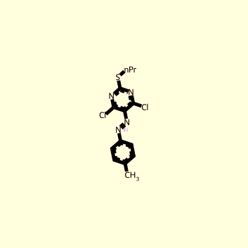 CCCSc1nc(Cl)c(/N=N/c2ccc(C)cc2)c(Cl)n1